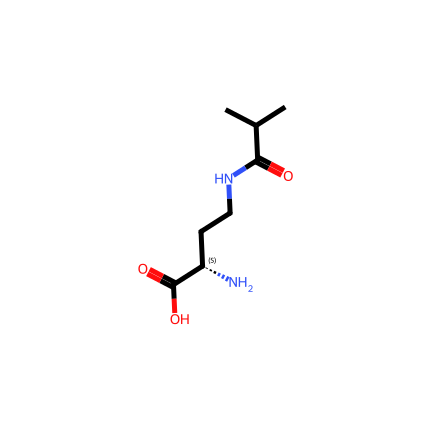 CC(C)C(=O)NCC[C@H](N)C(=O)O